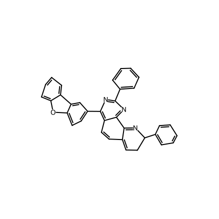 C1=c2ccc3c(-c4ccc5oc6ccccc6c5c4)nc(-c4ccccc4)nc3c2=NC(c2ccccc2)C1